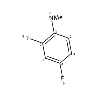 CNc1c[c]c(F)cc1F